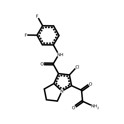 NC(=O)C(=O)c1c(Cl)c(C(=O)Nc2ccc(F)c(F)c2)c2n1CCC2